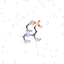 CNCC(=O)O.CP(=O)(O)CC[C@H](N)C(=O)O.NCC(=O)O